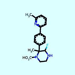 Cc1cccc(-c2ccc(C3(C)C(F)NCCN3C(=O)O)cc2)n1